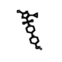 CC1CCN(C2CCN(S(=O)(=O)c3sc(Cl)nc3C3CC3)CC2)CC1